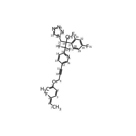 C=C(/C=C\C(F)=C/C)OCC#Cc1ccc(C(F)(F)C(O)(Cn2cnnn2)c2ccc(F)cc2F)nc1